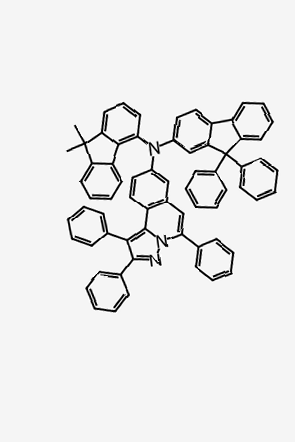 CC1(C)c2ccccc2-c2c(N(c3ccc4c(c3)C(c3ccccc3)(c3ccccc3)c3ccccc3-4)c3ccc4c(c3)cc(-c3ccccc3)n3nc(-c5ccccc5)c(-c5ccccc5)c43)cccc21